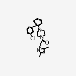 Cc1cc(C)n(CC(=O)N2CCN(c3ccccc3-c3cccc(Cl)c3)CC2)n1